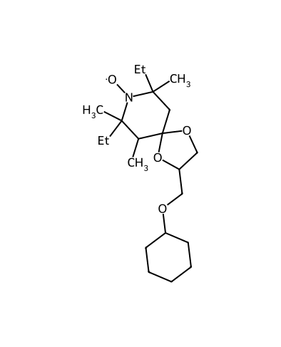 CCC1(C)CC2(OCC(COC3CCCCC3)O2)C(C)C(C)(CC)N1[O]